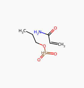 C=CC(N)=O.CCCO[SH](=O)=O